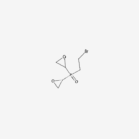 O=P(CCBr)(C1CO1)C1CO1